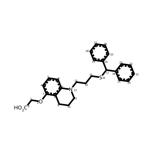 O=C(O)COc1cccc2c1CCCN2CCCSC(c1ccccc1)c1ccccc1